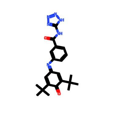 CC(C)(C)C1=CC(=Nc2cccc(C(=O)Nc3nnn[nH]3)c2)C=C(C(C)(C)C)C1=O